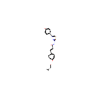 COc1ccc(-c2csc(NC(=O)C=Cc3ccc(OCCC(C)C)cc3)n2)cc1